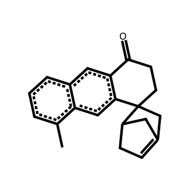 Cc1cccc2cc3c(cc12)C1(CCC3=O)CC2=CCC1C2